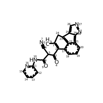 CC1=C(C(=O)C(C#N)C(=O)Nc2ccccn2)c2cccc3c2=C(C1)C1=CN=NC=31